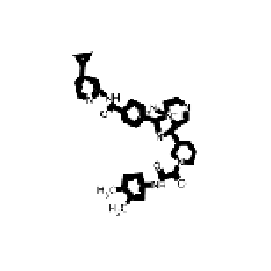 Cc1ccc(NC(=O)C(=O)N2CCCC(C3=C4C=NC=C[N+]4(N)C(c4ccc(C(=O)Nc5cc(C6CC6)ccn5)cc4)=N3)C2)cc1C